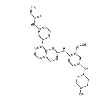 C=CC(=O)Nc1cccc(-c2nccc3cnc(Nc4ccc(NC5CCN(C)CC5)cc4OC)nc23)c1